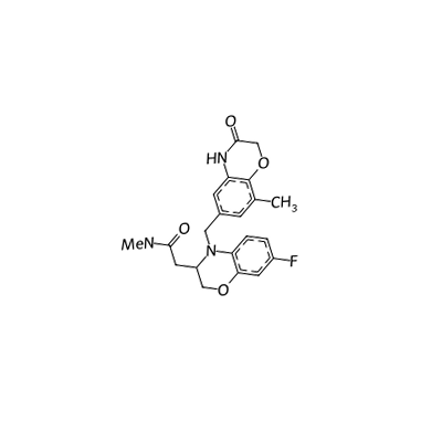 CNC(=O)CC1COc2cc(F)ccc2N1Cc1cc(C)c2c(c1)NC(=O)CO2